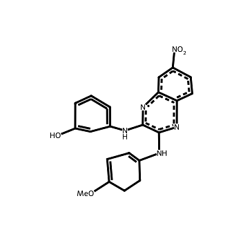 COC1=CC=C(Nc2nc3ccc([N+](=O)[O-])cc3nc2NC2=C=C=CC(O)=C2)CC1